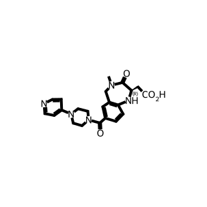 CN1Cc2cc(C(=O)N3CCN(c4ccncc4)CC3)ccc2N[C@H](CC(=O)O)C1=O